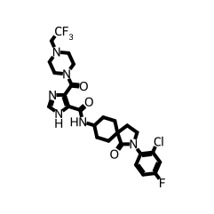 O=C(NC1CCC2(CC1)CCN(c1ccc(F)cc1Cl)C2=O)c1[nH]cnc1C(=O)N1CCN(CC(F)(F)F)CC1